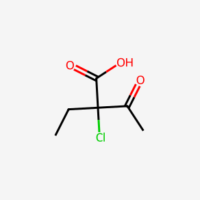 CCC(Cl)(C(C)=O)C(=O)O